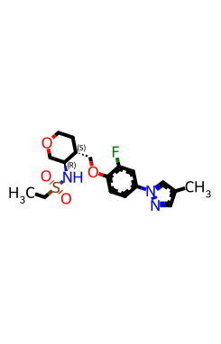 CCS(=O)(=O)N[C@H]1COCC[C@@H]1COc1ccc(-n2cc(C)cn2)cc1F